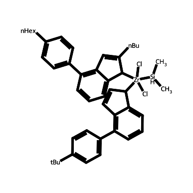 CCCCCCc1ccc(-c2cccc3c2C=C(CCCC)[CH]3[Zr]([Cl])([Cl])([CH]2C=Cc3c(-c4ccc(C(C)(C)C)cc4)cccc32)[SiH](C)C)cc1